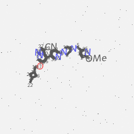 COc1ccc(CN2C3CN(c4ccc(-c5cc(OCC6CC(C)C6)cn6ncc(C#N)c56)cn4)CC32)cn1